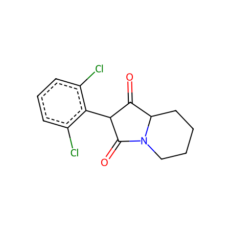 O=C1C(c2c(Cl)cccc2Cl)C(=O)N2CCCCC12